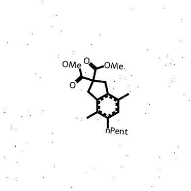 CCCCCc1cc(C)c2c(c1C)CC(C(=O)OC)(C(=O)OC)C2